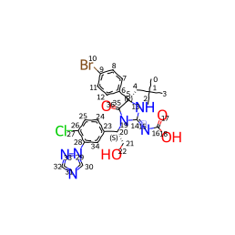 CC(C)(C)C[C@]1(c2ccc(Br)cc2)N/C(=N\C(=O)O)N([C@H](CO)c2ccc(Cl)c(-n3cncn3)c2)C1=O